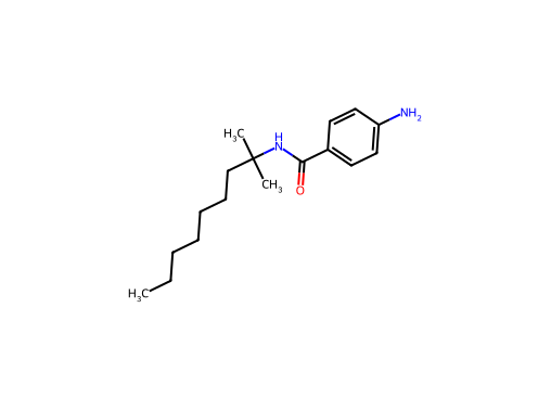 CCCCCCCC(C)(C)NC(=O)c1ccc(N)cc1